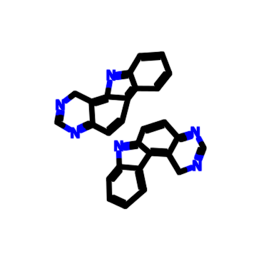 C1=NCc2c3c(ccc2=N1)=Nc1ccccc1-3.C1=NCc2c3c(ccc2=N1)=c1ccccc1=N3